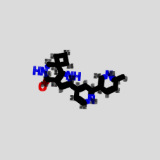 Cc1ccc(-c2cc(-c3cc4c([nH]3)C3(CCC3)CNC4=O)ccn2)cn1